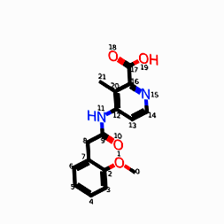 COc1ccccc1CC(=O)Nc1ccnc(C(=O)O)c1C